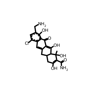 CC1(O)C(C(N)=O)=C(O)CC2CC3=Cc4c(Cl)cc(CN)c(O)c4C(=O)C3=C(O)C21